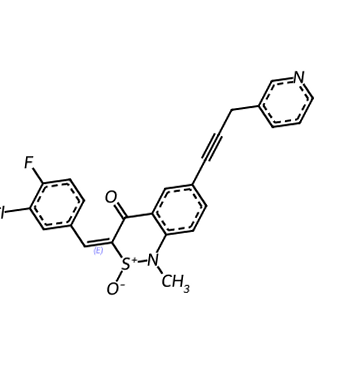 CN1c2ccc(C#CCc3cccnc3)cc2C(=O)/C(=C\c2ccc(F)c(Cl)c2)[S+]1[O-]